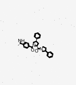 C[C@H](N)c1ccc(C(=O)N2C[C@@H](c3ccccc3)C[C@H]2C(=O)N2CCC(c3ccccc3)C2)cc1